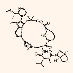 CCn1c(-c2cccnc2[C@H](C)OC)c2c3cc(ccc31)-c1csc(n1)C[C@H](NC(=O)[C@H](C(C)C)N(C)C(=O)N1C[C@H]3COC[C@H]31)C(=O)N1CCC[C@H](N1)C(=O)OCC(C)(C)C2